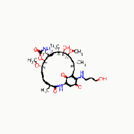 CO[C@H]1C=CC=C(C)C(=O)NC2=CC(=O)C(NCCCO)=C(C[C@@H](C)C[C@H](OC)[C@H](O)[C@@H](C)C=C(C)[C@@H]1OC(N)=O)C2=O